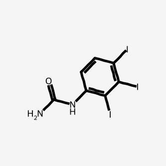 NC(=O)Nc1ccc(I)c(I)c1I